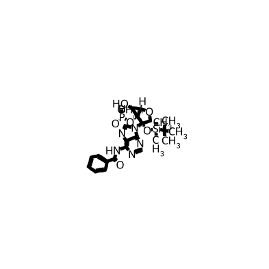 CC(C)(C)[Si](C)(C)O[C@]1(n2cnc3c(NC(=O)c4ccccc4)ncnc32)CO[C@@H]2C(O)[C@@]21O[PH](=O)O